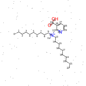 CCCCCCCCCC[N+](C)(C)CCCCCCCCCC.O=C(O)c1cccnc1